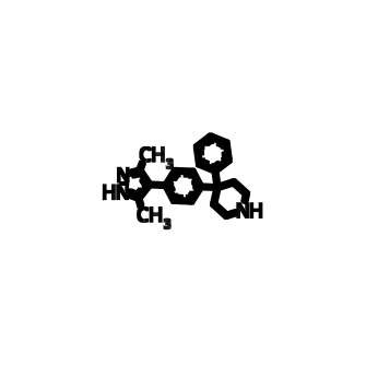 Cc1n[nH]c(C)c1-c1ccc(C2(c3ccccc3)CCNCC2)cc1